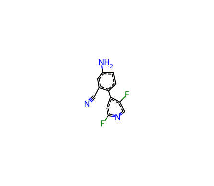 N#Cc1cc(N)ccc1-c1cc(F)ncc1F